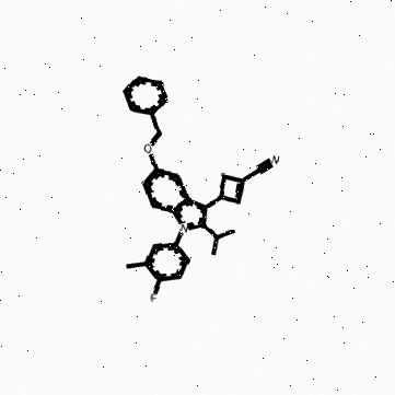 Cc1cc(-n2c(C(C)C)c(C3C=C(C#N)C3)c3cc(OCc4ccccc4)ccc32)ccc1F